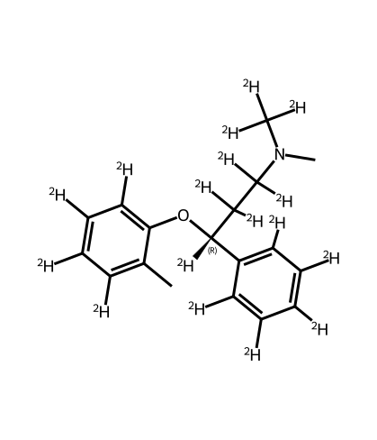 [2H]c1c([2H])c([2H])c([C@]([2H])(Oc2c([2H])c([2H])c([2H])c([2H])c2C)C([2H])([2H])C([2H])([2H])N(C)C([2H])([2H])[2H])c([2H])c1[2H]